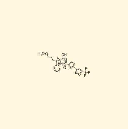 COCCCC1(c2ccccc2)CC1(NS(=O)(=O)c1ccc(-c2cc(C(F)(F)F)on2)s1)C(=O)O